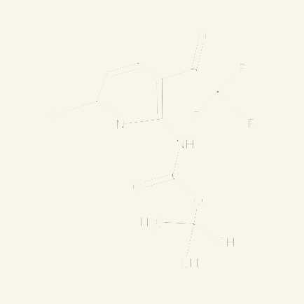 CC(C)(C)OC(=O)Nc1nc(Cl)ccc1C(=O)C(F)(F)F